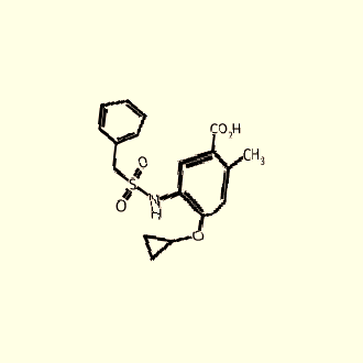 Cc1cc(OC2CC2)c(NS(=O)(=O)Cc2ccccc2)cc1C(=O)O